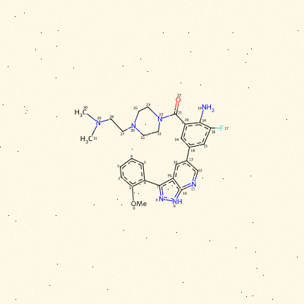 COc1ccccc1-c1n[nH]c2ncc(-c3cc(F)c(N)c(C(=O)N4CCN(CCN(C)C)CC4)c3)cc12